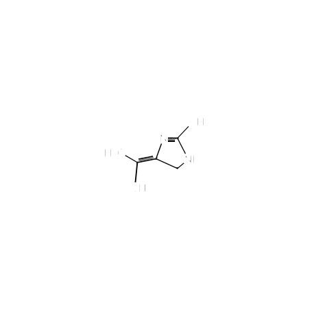 CC1=NC(=C(C)C)CN1